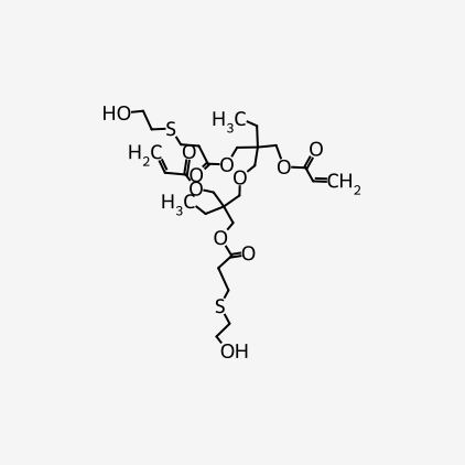 C=CC(=O)OCC(CC)(COCC(CC)(COC(=O)C=C)COC(=O)CCSCCO)COC(=O)CCSCCO